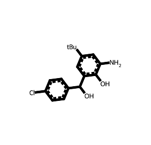 CC(C)(C)c1cc(N)c(O)c(C(O)c2ccc(Cl)cc2)c1